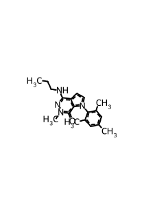 CCCNc1nn(C)c(=O)c2c1ccn2-c1c(C)cc(C)cc1C